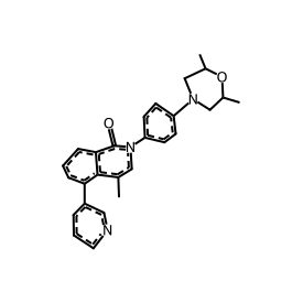 Cc1cn(-c2ccc(N3CC(C)OC(C)C3)cc2)c(=O)c2cccc(-c3cccnc3)c12